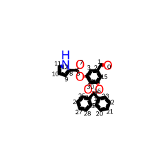 O=Cc1cc(OC(=O)c2ccc[nH]2)c2c(c1)OC(c1ccccc1)(c1ccccc1)O2